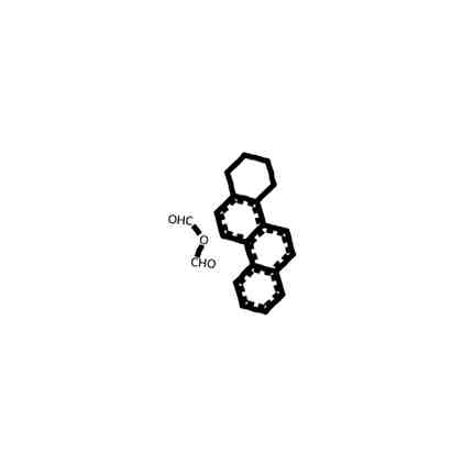 O=COC=O.c1ccc2c(c1)ccc1c3c(ccc12)CCCC3